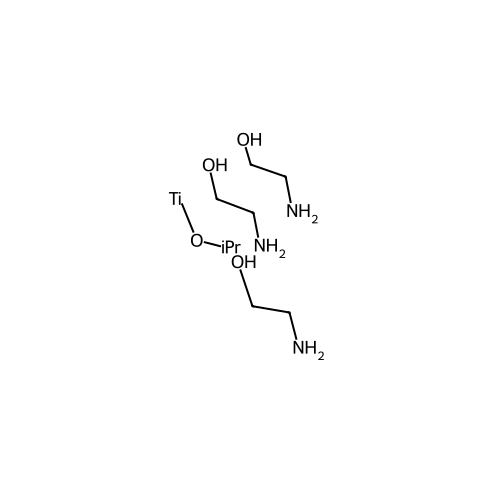 CC(C)[O][Ti].NCCO.NCCO.NCCO